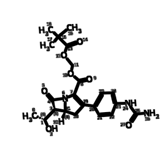 C[C@@H](O)[C@H]1C(=O)N2C(C(=O)OCOC(=O)C(C)(C)C)=C(c3ccc(NC(N)=O)cc3)C[C@H]12